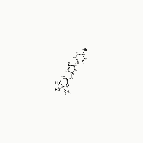 CC(C)(C)OC(=O)Cn1cc(-c2ccc(Br)cc2)nn1